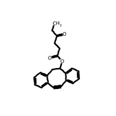 CCC(=O)CCC(=O)OC1Cc2ccccc2C#Cc2ccccc21